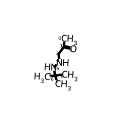 CC(=O)CNNC(C)(C)C